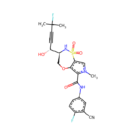 Cn1cc2c(c1C(=O)Nc1ccc(F)c(C#N)c1)OC[C@@H]([C@H](O)C#CC(C)(C)F)NS2(=O)=O